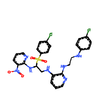 O=[N+]([O-])c1cccnc1NC(CNc1cccnc1NCCNc1ccc(Cl)cc1)S(=O)(=O)c1ccc(Cl)cc1